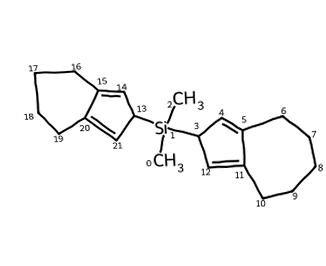 C[Si](C)(C1C=C2CCCCCC2=C1)C1C=C2CCCCC2=C1